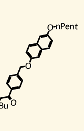 CCCCCOc1ccc2cc(OCc3ccc(C(=O)C[C@H](C)CC)cc3)ccc2c1